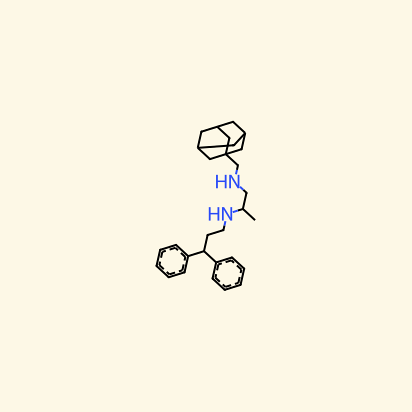 CC(CNCC12CC3CC(CC(C3)C1)C2)NCCC(c1ccccc1)c1ccccc1